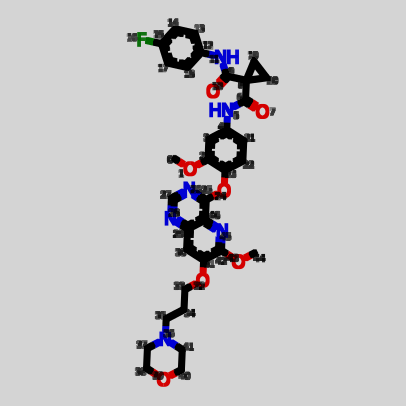 COc1cc(NC(=O)C2(C(=O)Nc3ccc(F)cc3)CC2)ccc1Oc1ncnc2cc(OCCCN3CCOCC3)c(OC)nc12